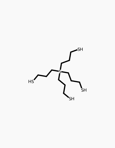 SCCCS(CCCS)(CCCS)CCCS